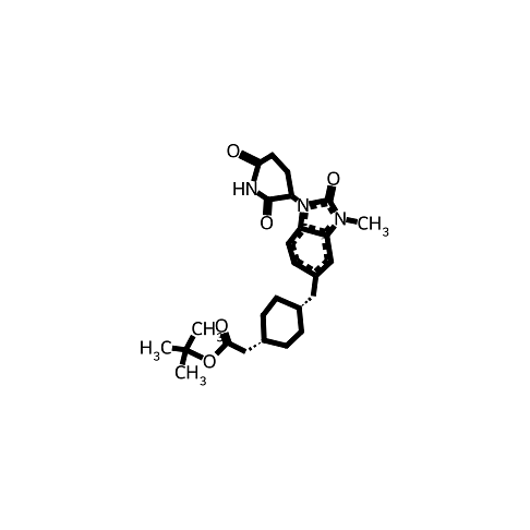 Cn1c(=O)n(C2CCC(=O)NC2=O)c2ccc(C[C@H]3CC[C@@H](CC(=O)OC(C)(C)C)CC3)cc21